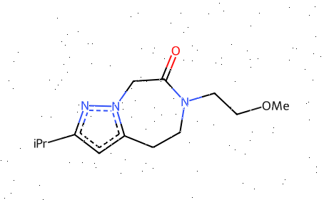 COCCN1CCc2cc(C(C)C)nn2CC1=O